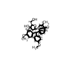 [2H][C@]1(O)C[C@@](n2cc(C)c(=O)[nH]c2=O)(C(c2ccccc2)(c2ccc(OC)cc2)c2ccc(OC)cc2)O[C@@H]1CO